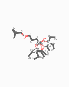 C=C(C)COCCC[Si](OCC)(O[Si](CC)(CC)CC)O[Si](CC)(CC)CC